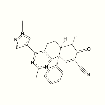 Cc1nc(-c2cnn(C)c2)c2c(n1)[C@]1(c3ccccc3)C=C(C#N)C(=O)[C@@H](C)[C@@H]1CC2